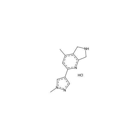 Cc1cc(-c2cnn(C)c2)nc2c1CNC2.Cl